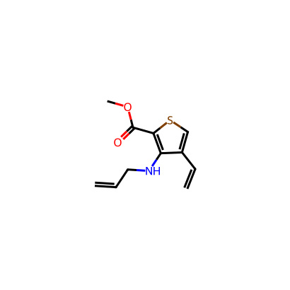 C=CCNc1c(C=C)csc1C(=O)OC